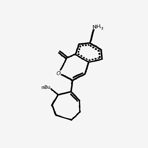 C=C1OC(C2=CCCCCC2CCCC)=Cc2ccc(N)cc21